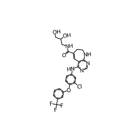 O=C(NCC(O)CO)C1=Cc2c(ncnc2Nc2ccc(Oc3cccc(C(F)(F)F)c3)c(Cl)c2)NCC1